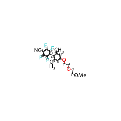 COCCOCCOc1cc(C)c(-c2c(F)c(F)c(C#N)c(F)c2F)c(C)c1